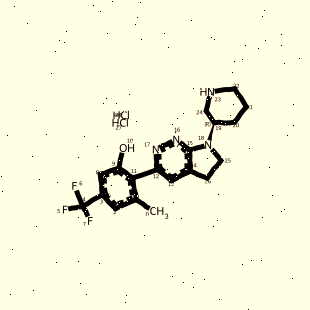 Cc1cc(C(F)(F)F)cc(O)c1-c1cc2c(nn1)N([C@@H]1CCCNC1)CC2.Cl.Cl